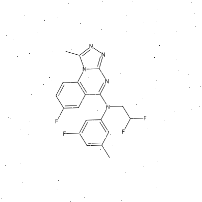 Cc1cc(F)cc(N(CC(F)F)c2nc3nnc(C)n3c3ccc(F)cc23)c1